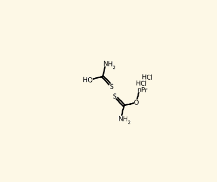 CCCOC(N)=S.Cl.Cl.NC(O)=S